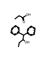 CCC(=O)O.CCC(O)C(c1ccccc1)c1ccccc1